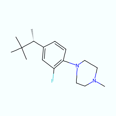 C[C@H](c1ccc(N2CCN(C)CC2)c(F)c1)C(C)(C)C